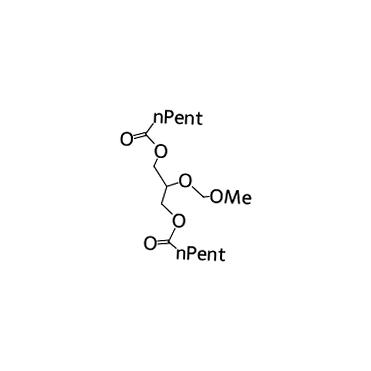 CCCCCC(=O)OCC(COC(=O)CCCCC)OCOC